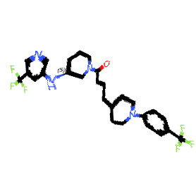 O=C(CCCC1CCN(c2ccc(C(F)(F)F)cc2)CC1)N1CCC[C@H](Nc2cncc(C(F)(F)F)c2)C1